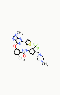 Cc1ccc(Oc2nc(-c3ccsc3)nc3c2ncn3C)cc1C(=O)Nc1ccc(CN2CCN(C)CC2)c(C(F)(F)F)c1